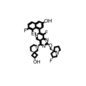 CCc1c(F)ccc2cc(O)cc(-c3ncc4c(N5CCC[C@]6(C5)C[C@@H](O)C6)nc(OC[C@@]56CCCN5C[C@H](F)C6)nc4c3F)c12